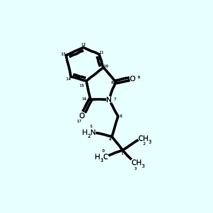 CC(C)(C)C(N)CN1C(=O)c2ccccc2C1=O